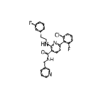 O=C(NCc1cccnc1)c1ccc(-c2c(F)cccc2Cl)nc1NCCc1cccc(F)c1